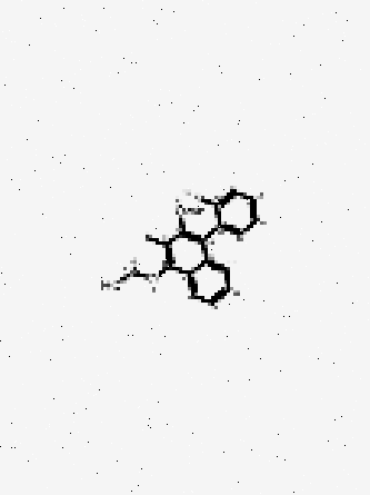 COc1c(C)c(OBO)c2ccccc2c1-c1ccccc1F